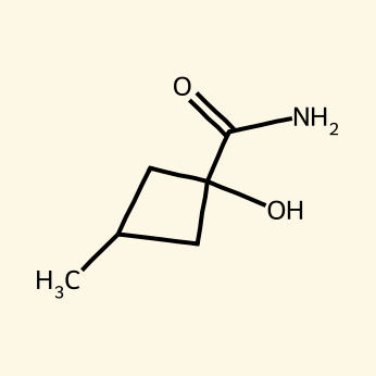 CC1CC(O)(C(N)=O)C1